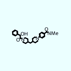 CNC(=O)c1ccc(N2CCC(CC3CCN(C(=O)C(O)c4ccccc4)CC3)CC2)cc1